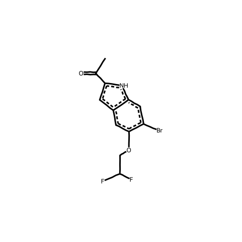 CC(=O)c1cc2cc(OCC(F)F)c(Br)cc2[nH]1